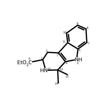 CCOC(=O)C1Cc2c([nH]c3ccccc23)C(C)(C)N1